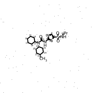 CC(C)NS(=O)(=O)c1cnc(NC(=O)N(C2CCCCC2)[C@H]2CC[C@H](C)CC2)s1